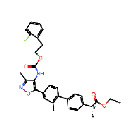 CCOC(=O)[C@H](C)c1ccc(-c2ccc(-c3onc(C)c3NC(=O)OCCc3ccccc3F)cc2C)cc1